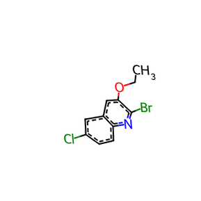 CCOc1cc2cc(Cl)ccc2nc1Br